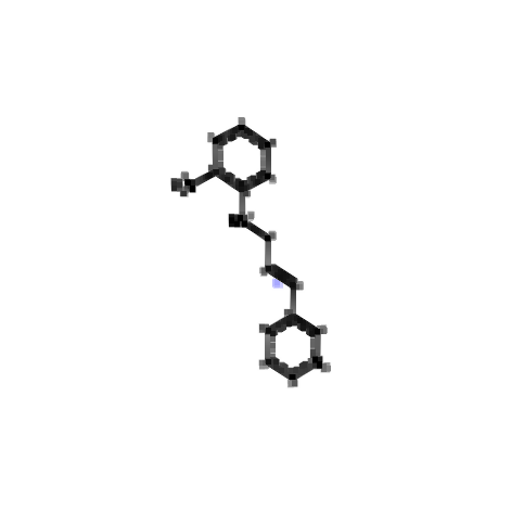 Nc1ccccc1NC/C=C/c1cccnc1